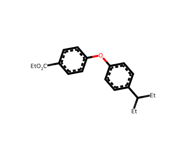 CCOC(=O)c1ccc(Oc2ccc(C(CC)CC)cc2)cc1